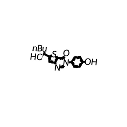 CCCCC(O)c1cc2ncn(-c3ccc(O)cc3)c(=O)c2s1